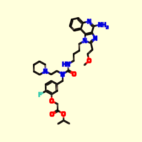 COCCc1nc2c(N)nc3ccccc3c2n1CCCCNC(=O)N(CCN1CCCCC1)Cc1ccc(F)c(OCC(=O)OC(C)C)c1